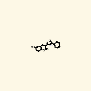 O=C(/C=C(\Cl)c1ccccc1)c1cc2cc(Br)ccc2oc1=O